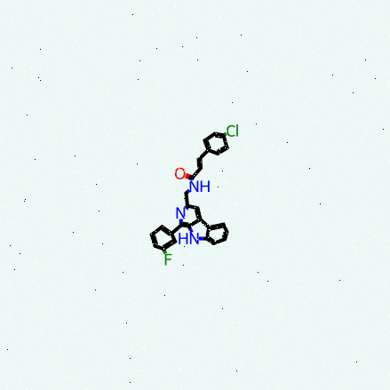 O=C(/C=C/c1ccc(Cl)cc1)NCc1cc2c([nH]c3ccccc32)c(-c2cccc(F)c2)n1